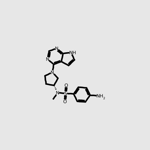 CN([C@@H]1CCN(c2ncnc3[nH]ccc23)C1)S(=O)(=O)c1ccc(N)cc1